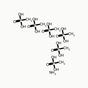 CP(=O)(O)O.CP(=O)(O)O.CP(=O)(O)O.CP(=O)(O)O.CP(=O)(O)O.CP(=O)(O)O.N